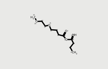 CCCC(=N)OC(=O)CCCOCCOC